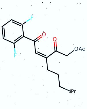 CC(=O)OCC(=O)C(=CC(=O)c1c(F)cccc1F)CCCC(C)C